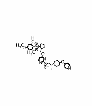 COc1cc(C)c(S(=O)(=O)N2CCC[C@H]2COc2ccnc(N(C)CCN3CCC(Oc4ccncc4)CC3)n2)c(C)c1